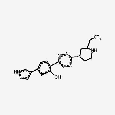 Oc1cc(-c2cn[nH]c2)ccc1-c1cnc(N2CCNC(CC(F)(F)F)C2)nn1